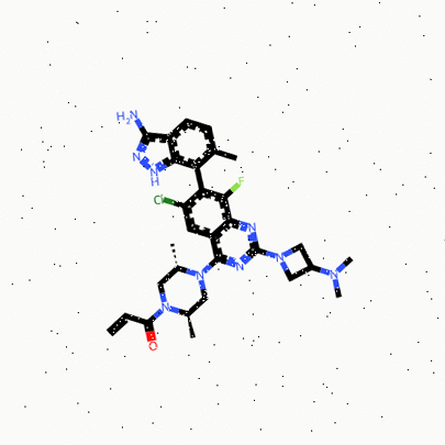 C=CC(=O)N1C[C@H](C)N(c2nc(N3CC(N(C)C)C3)nc3c(F)c(-c4c(C)ccc5c(N)n[nH]c45)c(Cl)cc23)C[C@H]1C